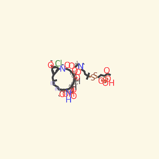 COc1cc2cc(c1Cl)N(C)C(=O)C[C@H](OC(=O)[C@H](C)N(C)C(=O)CCC(C)(C)SSCCC(C(C)=O)S(=O)(=O)O)[C@]1(C)O[C@H]1[C@H](C)[C@@H]1C[C@@](O)(NC(=O)O1)[C@H](OC)/C=C/C=C(\C)C2